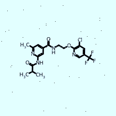 Cc1cc(C(=O)NCCOc2ncc(C(F)(F)F)cc2Cl)cc(NC(=O)C(C)C)n1